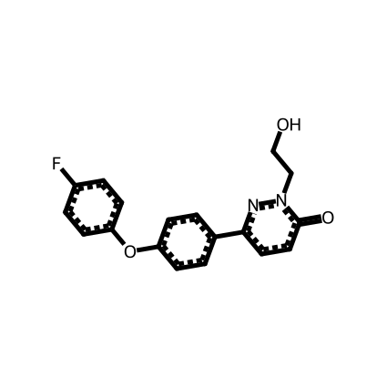 O=c1ccc(-c2ccc(Oc3ccc(F)cc3)cc2)nn1CCO